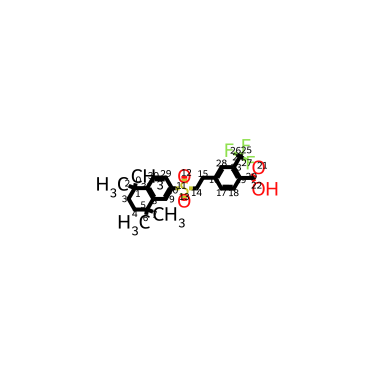 CC1(C)CCC(C)(C)c2cc(S(=O)(=O)CCc3ccc(C(=O)O)c(C(F)(F)F)c3)ccc21